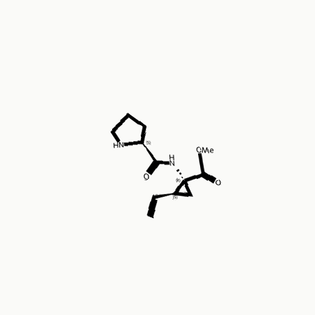 C=C[C@@H]1C[C@]1(NC(=O)[C@@H]1CCCN1)C(=O)OC